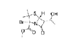 COC(=O)[C@]1(Br)N2C(=O)[C@@H](C(C)O)[C@H]2SC1(C)C